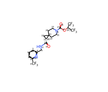 O=C(NCc1cccc(C(F)(F)F)n1)[C@@H]1CC12CCN(C(=O)OC(C(F)(F)F)C(F)(F)F)CC2